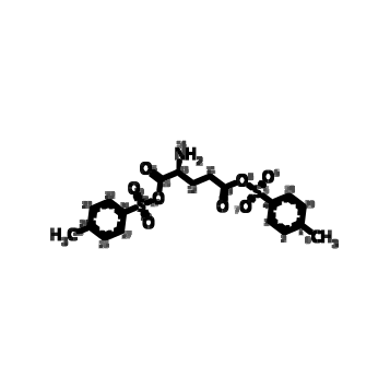 Cc1ccc(S(=O)(=O)OC(=O)CC[C@H](N)C(=O)OS(=O)(=O)c2ccc(C)cc2)cc1